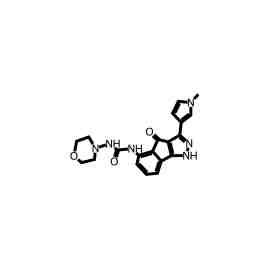 Cn1ccc(-c2n[nH]c3c2C(=O)c2c(NC(=O)NN4CCOCC4)cccc2-3)c1